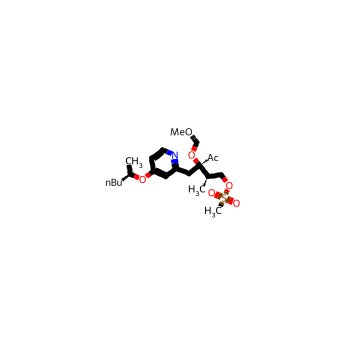 CCCC[C@@H](C)Oc1ccnc(C[C@](OCOC)(C(C)=O)[C@@H](C)COS(C)(=O)=O)c1